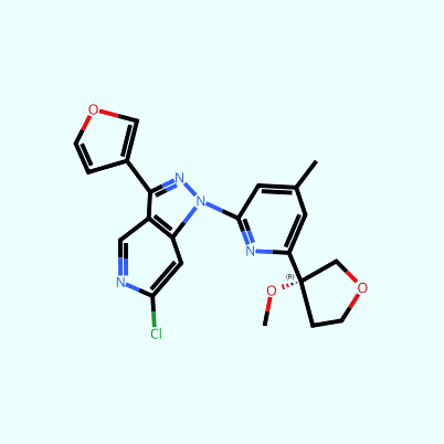 CO[C@@]1(c2cc(C)cc(-n3nc(-c4ccoc4)c4cnc(Cl)cc43)n2)CCOC1